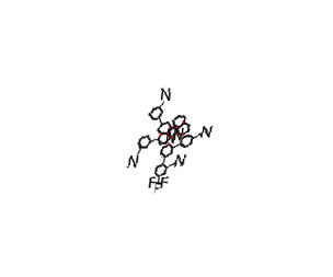 N#Cc1cccc(-c2ccc3c(c2)c2ccccc2n3-c2ccc(-c3ccc(C(F)(F)F)cc3C#N)cc2-c2ccc(C#N)cc2-n2c3ccccc3c3cc(-c4cccc(C#N)c4)ccc32)c1